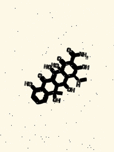 CN[C@@H]1C(O)=C(C(N)=O)C(=O)[C@@]2(O)C(O)=C3C(=O)c4c(O)cccc4C(C)(O)C3C(O)C12